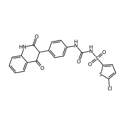 O=C(Nc1ccc(C2C(=O)Nc3ccccc3C2=O)cc1)NS(=O)(=O)c1ccc(Cl)s1